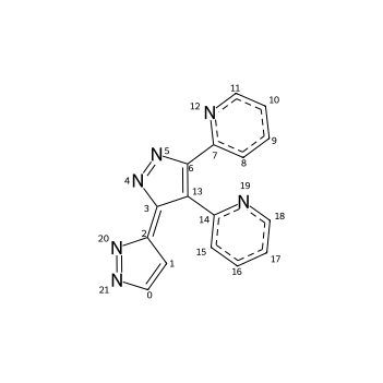 C1=CC(=C2N=NC(c3ccccn3)=C2c2ccccn2)N=N1